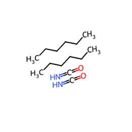 CCCCCC.CCCCCC.N=C=O.N=C=O